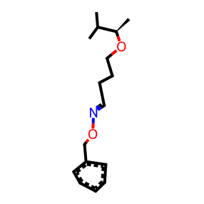 CC(C)[C@@H](C)OCCC/C=N/OCc1ccccc1